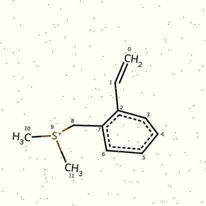 C=Cc1ccccc1C[S+](C)C